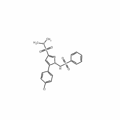 CN(C)S(=O)(=O)c1cc(-c2ccc(Cl)cc2)n(NS(=O)(=O)c2ccccc2)n1